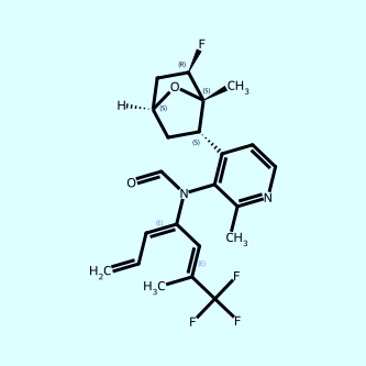 C=C/C=C(\C=C(/C)C(F)(F)F)N(C=O)c1c([C@@H]2C[C@H]3C[C@@H](F)[C@@]2(C)O3)ccnc1C